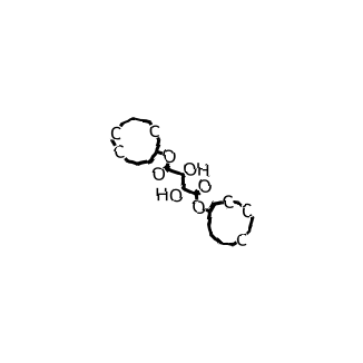 O=C(OC1CCCCCCCCCCC1)C(O)C(O)C(=O)OC1CCCCCCCCCCC1